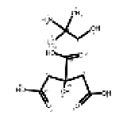 CC(C)(N)CO.O=C(O)CC(O)(CC(=O)O)C(=O)O